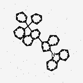 c1ccc(C(c2ccccc2)(c2ccccc2)c2ccc(-c3ccc(-n4c5ccccc5c5ccccc54)c4ccccc34)c3ccccc23)cc1